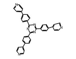 c1cc(-c2ccc(-c3nc(-c4ccc(-c5ccncc5)cc4)nc(-c4ccc(-c5ccncc5)cc4)n3)cc2)ccn1